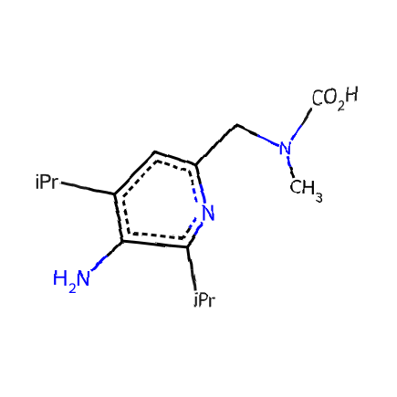 CC(C)c1cc(CN(C)C(=O)O)nc(C(C)C)c1N